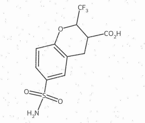 NS(=O)(=O)c1ccc2c(c1)CC(C(=O)O)C(C(F)(F)F)O2